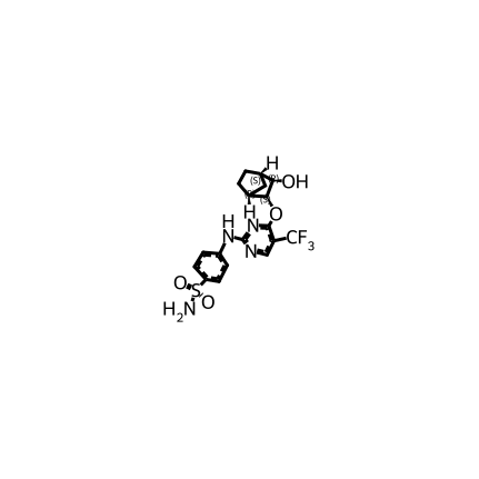 NS(=O)(=O)c1ccc(Nc2ncc(C(F)(F)F)c(O[C@H]3[C@@H]4CC[C@@H](C4)[C@H]3O)n2)cc1